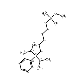 CO[Si](C)(C)CCCCCC[Si](c1ccccc1)(N(C)C)N(C)C